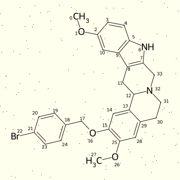 COc1ccc2[nH]c3c(c2c1)CC1c2cc(OCc4ccc(Br)cc4)c(OC)cc2CCN1C3